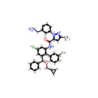 NCc1cccc(-n2nc(C(F)(F)F)cc2C(=O)Nc2cc(F)cc(C(OCC3CC3)c3ccccc3)c2-c2cccc(F)c2)c1